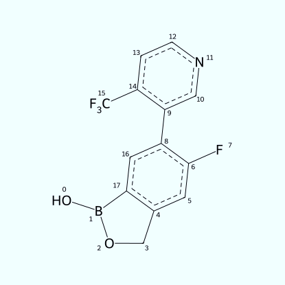 OB1OCc2cc(F)c(-c3cnccc3C(F)(F)F)cc21